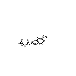 Cc1ccc2c(c1)OC(CNCC1CC1)O2